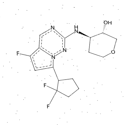 O[C@@H]1COCC[C@H]1Nc1ncc2c(F)cc(C3CCCC3(F)F)n2n1